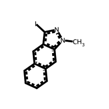 Cn1nc(I)c2cc3ccccc3cc21